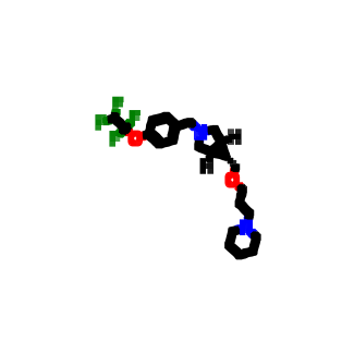 FC(F)C(F)(F)Oc1ccc(CN2C[C@@H]3[C@H](COCCCN4CCCCC4)[C@@H]3C2)cc1